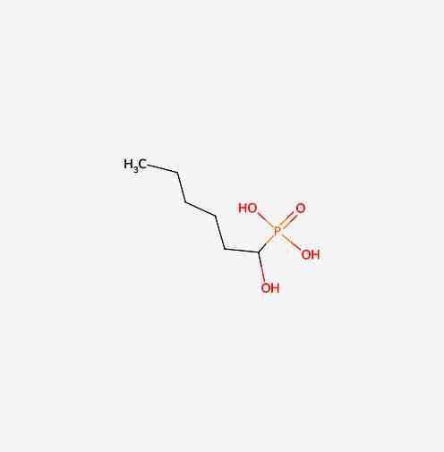 CCCCCC(O)P(=O)(O)O